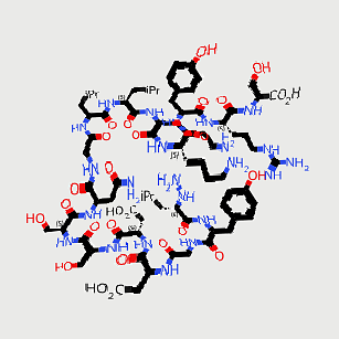 CC(C)CC(NC(=O)CNC(=O)C(CC(N)=O)NC(=O)[C@H](CO)NC(=O)C(CO)NC(=O)[C@H](CC(=O)O)NC(=O)C(CC(=O)O)NC(=O)CNC(=O)C(Cc1ccc(O)cc1)NC(=O)[C@H](CC(C)C)NN)C(=O)N[C@@H](CC(C)C)C(=O)NC(CCCCN)C(=O)N[C@@H](CCCCN)C(=O)NC(Cc1ccc(O)cc1)C(=O)N[C@@H](CCCNC(=N)N)C(=O)NC(CO)C(=O)O